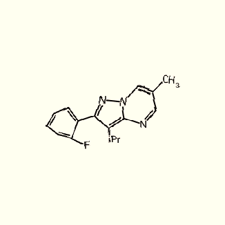 Cc1cnc2c(C(C)C)c(-c3ccccc3F)nn2c1